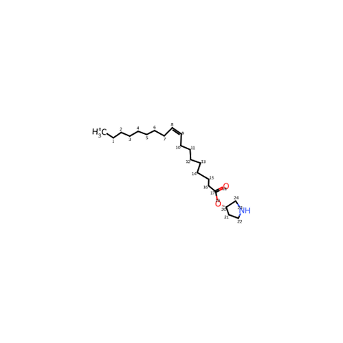 CCCCCCCC/C=C\CCCCCCCC(=O)O[C@H]1CCNC1